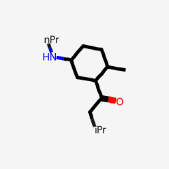 CCCNC1CCC(C)C(C(=O)CC(C)C)C1